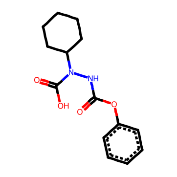 O=C(NN(C(=O)O)C1CCCCC1)Oc1ccccc1